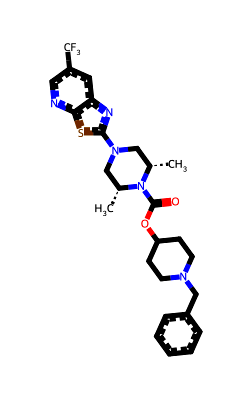 C[C@@H]1CN(c2nc3cc(C(F)(F)F)cnc3s2)C[C@H](C)N1C(=O)OC1CCN(Cc2ccccc2)CC1